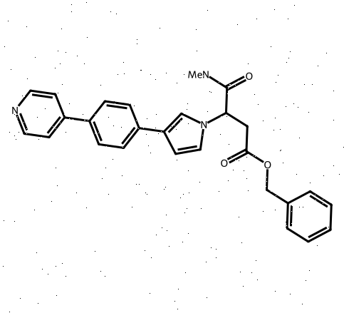 CNC(=O)C(CC(=O)OCc1ccccc1)n1ccc(-c2ccc(-c3ccncc3)cc2)c1